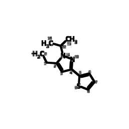 [CH2]Cc1cc(-c2cccs2)nn1C(C)C